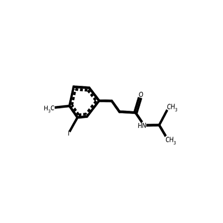 Cc1ccc(CCC(=O)NC(C)C)cc1I